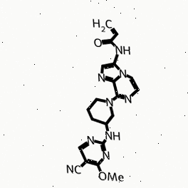 C=CC(=O)Nc1cnc2c(N3CCCC(Nc4ncc(C#N)c(OC)n4)C3)nccn12